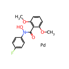 COc1cccc(OC)c1C(=O)N(O)c1ccc(F)cc1.[Pd]